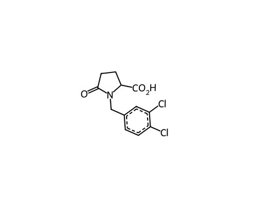 O=C(O)C1CCC(=O)N1Cc1ccc(Cl)c(Cl)c1